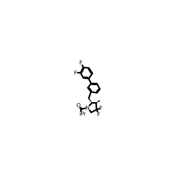 CC(C)C(=O)N1CC(F)(F)[C@H](C)[C@@H]1Cc1cccc(-c2ccc(F)c(F)c2)c1